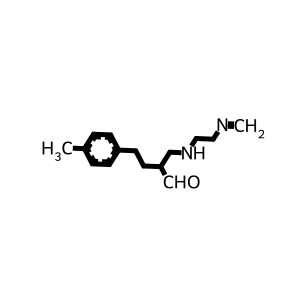 C=NCCNCC(C=O)CCc1ccc(C)cc1